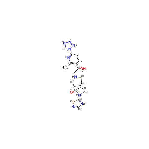 Cc1nc(-n2cnnn2)ccc1C(O)CN1CCC2(CC1)CCN(c1ncns1)C2=O